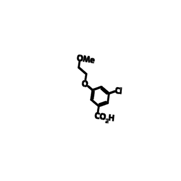 COCCOc1cc(Cl)cc(C(=O)O)c1